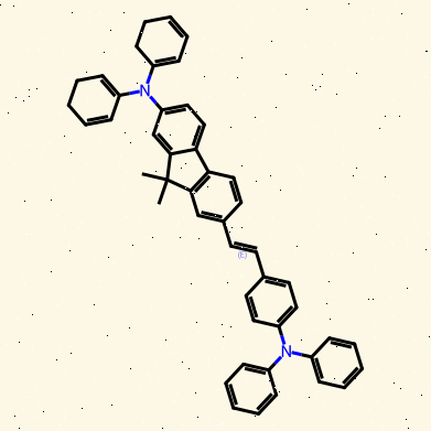 CC1(C)c2cc(/C=C/c3ccc(N(c4ccccc4)c4ccccc4)cc3)ccc2-c2ccc(N(C3=CCCC=C3)C3=CC=CCC3)cc21